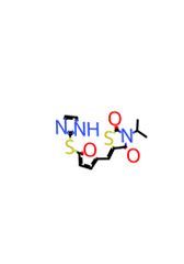 CC(C)N1C(=O)SC(=Cc2ccc(Sc3ncc[nH]3)o2)C1=O